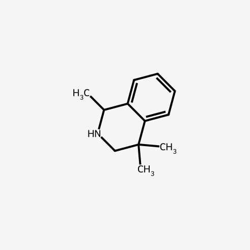 CC1NCC(C)(C)c2ccccc21